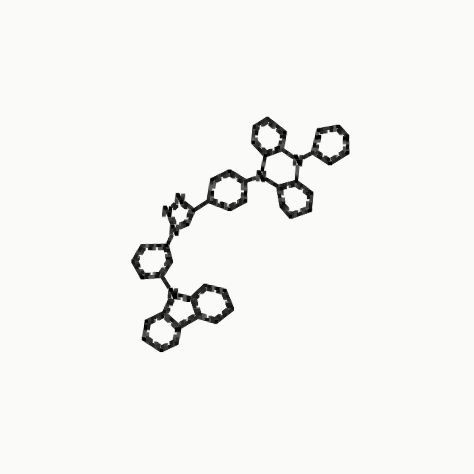 c1ccc(N2c3ccccc3N(c3ccc(-c4cn(-c5cccc(-n6c7ccccc7c7ccccc76)c5)nn4)cc3)c3ccccc32)cc1